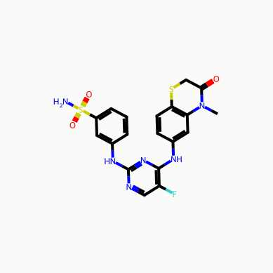 CN1C(=O)CSc2ccc(Nc3nc(Nc4cccc(S(N)(=O)=O)c4)ncc3F)cc21